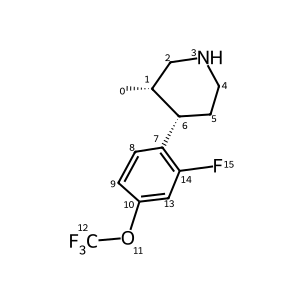 C[C@@H]1CNCC[C@@H]1c1ccc(OC(F)(F)F)cc1F